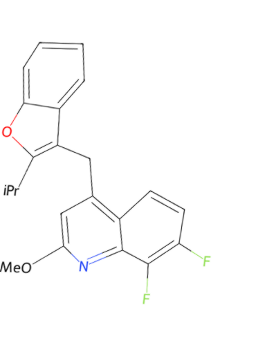 COc1cc(Cc2c(C(C)C)oc3ccccc23)c2ccc(F)c(F)c2n1